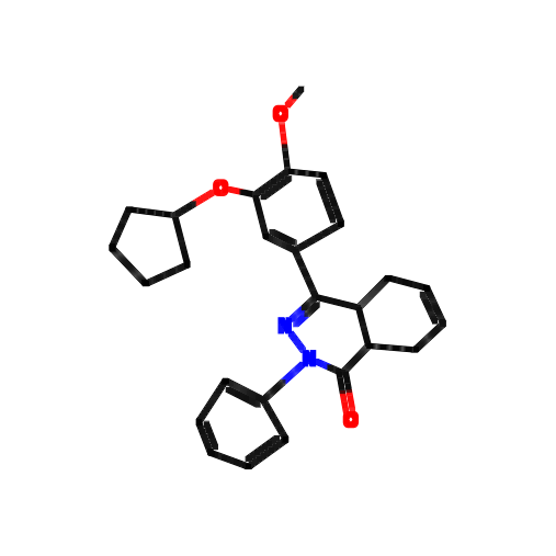 COc1ccc(C2=NN(c3ccccc3)C(=O)C3CC=CCC23)cc1OC1CCCC1